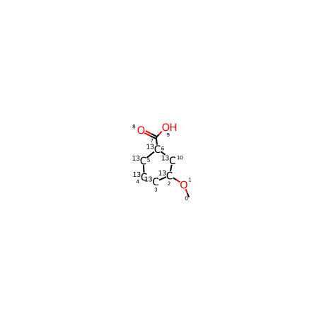 CO[13CH]1[13CH]=[13CH][13CH2][13CH](C(=O)O)[13CH2]1